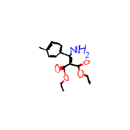 CCOC(=O)C(C(=O)OCC)=C(N)c1ccc(C)cc1